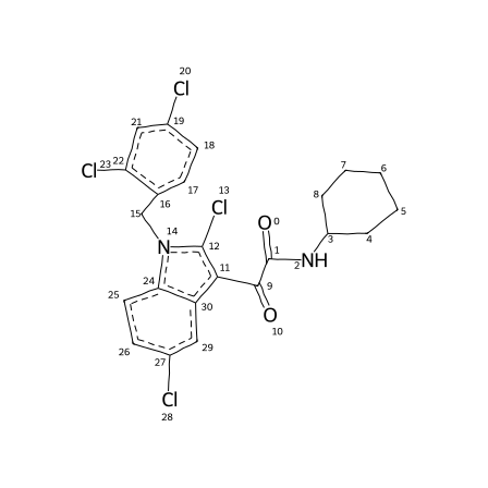 O=C(NC1CCCCC1)C(=O)c1c(Cl)n(Cc2ccc(Cl)cc2Cl)c2ccc(Cl)cc12